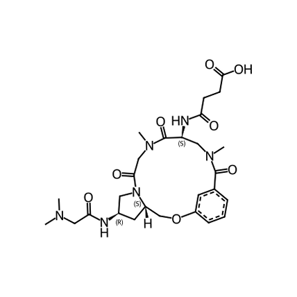 CN(C)CC(=O)N[C@@H]1C[C@H]2COc3cccc(c3)C(=O)N(C)C[C@H](NC(=O)CCC(=O)O)C(=O)N(C)CC(=O)N2C1